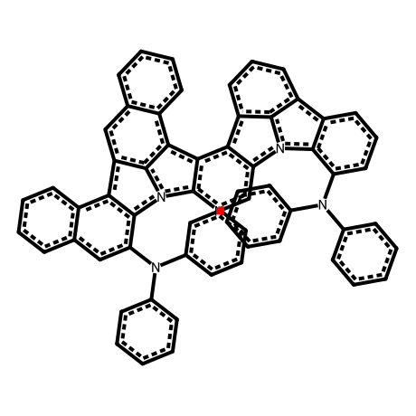 c1ccc(N(c2ccccc2)c2cccc3c4cccc5c6c7c8c9ccccc9cc9c%10c%11ccccc%11cc(N(c%11ccccc%11)c%11ccccc%11)c%10n(c7ncc6n(c23)c45)c98)cc1